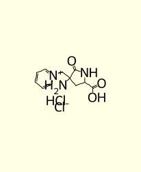 Cl.NC1(C[n+]2ccccc2)CC(C(=O)O)NC1=O.[Cl-]